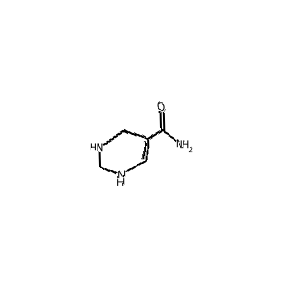 NC(=O)C1=CNCNC1